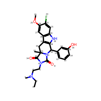 CCN(C)CCN1C(=O)N2C(c3cccc(O)c3)c3[nH]c4cc(F)c(OC)cc4c3CC2(C)C1=O